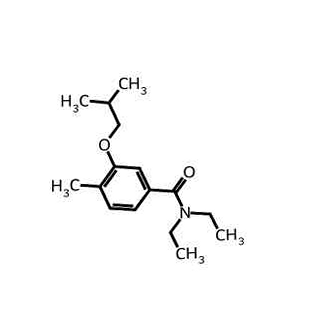 CCN(CC)C(=O)c1ccc(C)c(OCC(C)C)c1